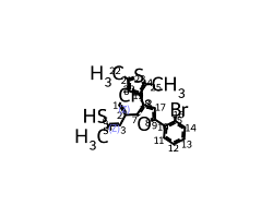 C/C=C(/C=C(/C)S)c1oc(-c2ccccc2Br)cc1-c1cc(C)sc1C